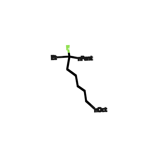 [CH2]CC(F)(CCCCC)CCCCCCCCCCCCC